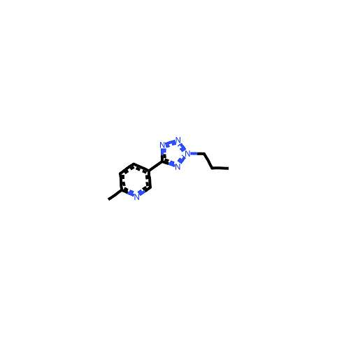 CCCn1nnc(-c2ccc(C)nc2)n1